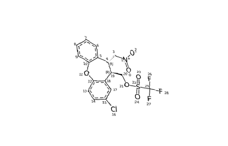 O=[N+]([O-])C[C@H]1c2ccccc2Oc2ccc(Cl)cc2[C@@H]1COS(=O)(=O)C(F)(F)F